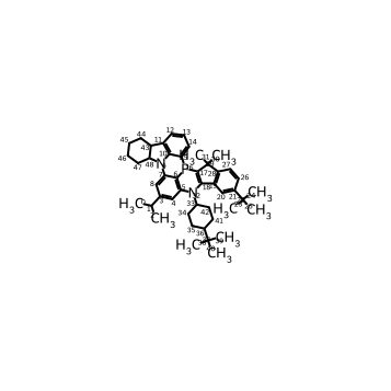 CC(C)c1cc2c3c(c1)N1c4c(cccc4P3C3=C(c4cc(C(C)(C)C)ccc4C3(C)C)N2C2CCC(C(C)(C)C)CC2)C2CCCCC21